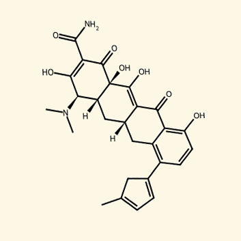 CC1=CC=C(c2ccc(O)c3c2C[C@@H]2C[C@@H]4[C@@H](N(C)C)C(O)=C(C(N)=O)C(=O)[C@]4(O)C(O)=C2C3=O)C1